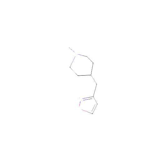 CN1CCC(Cc2ccon2)CC1